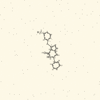 Cc1cccc(Cn2cnc3nc(-c4ccccn4)[nH]c(=O)c32)c1